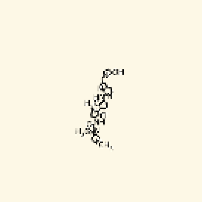 Cc1c(Nc2nccc3cc(CN4CCC(O)C4)cnc23)cccc1-c1nccc(NC(=O)c2nc3c(n2C)CCN(C)C3)c1Cl